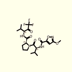 COc1cc(C(=O)N[C@H](C(=O)N2CCC[C@H]2C(=O)N[C@H](C(=O)C(F)(F)F)C(C)C)C(C)C)on1